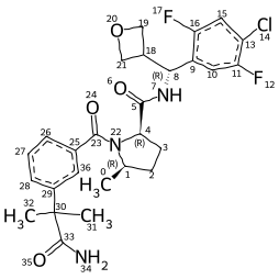 C[C@@H]1CC[C@H](C(=O)N[C@@H](c2cc(F)c(Cl)cc2F)C2COC2)N1C(=O)c1cccc(C(C)(C)C(N)=O)c1